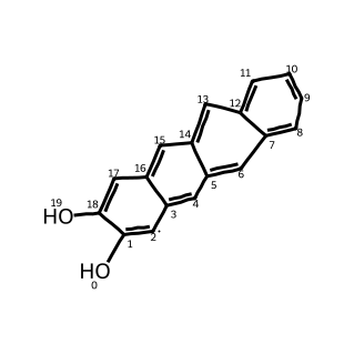 Oc1[c]c2cc3cc4ccccc4cc3cc2cc1O